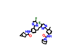 Cc1ccc(NC(=O)N2C3CCCC2C3)cc1-c1ncc(F)c(CCc2ccc(NC(=O)C3CC4CC4C3)cc2-c2ncc(F)cn2)n1